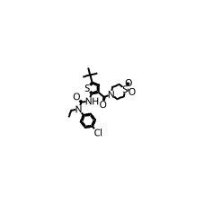 CCN(C(=O)Nc1sc(C(C)(C)C)cc1C(=O)N1CCS(=O)(=O)CC1)c1ccc(Cl)cc1